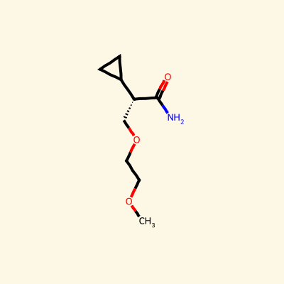 COCCOC[C@@H](C(N)=O)C1CC1